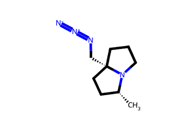 C[C@@H]1CC[C@@]2(CN=[N+]=[N-])CCCN12